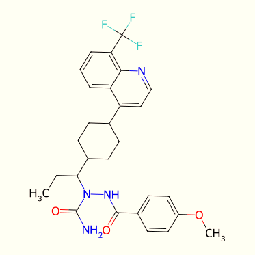 CCC(C1CCC(c2ccnc3c(C(F)(F)F)cccc23)CC1)N(NC(=O)c1ccc(OC)cc1)C(N)=O